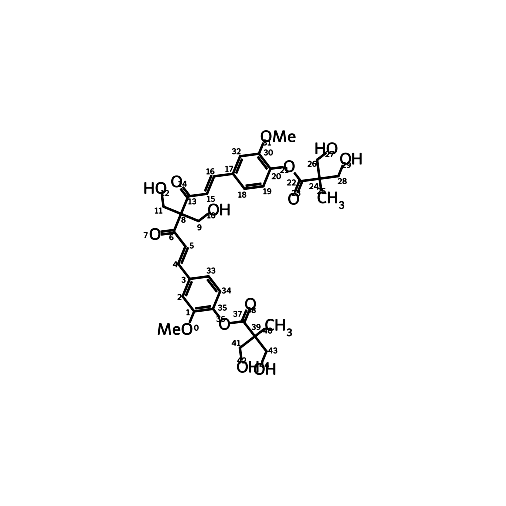 COc1cc(/C=C/C(=O)C(CO)(CO)C(=O)/C=C/c2ccc(OC(=O)C(C)(CO)CO)c(OC)c2)ccc1OC(=O)C(C)(CO)CO